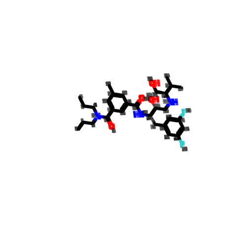 CCCN(CCC)C(=O)c1cc(C)cc(C(=O)N[C@@H](Cc2cc(F)cc(F)c2)[C@H](O)CN[C@@H](CO)C(C)C)c1